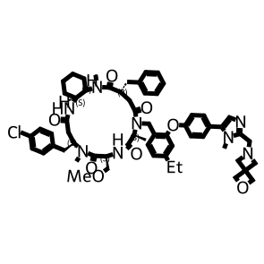 CCc1ccc(CN2C(=O)C[C@@H](Cc3ccccc3)C(=O)N(C)[C@H]3CCCC[C@@H]3NC(=O)C[C@H](Cc3ccc(Cl)cc3)N(C)C(=O)[C@H](COC)NC(=O)[C@@H]2C)c(Oc2ccc(-c3cnc(CN4CC5(COC5)C4)n3C)cc2)c1